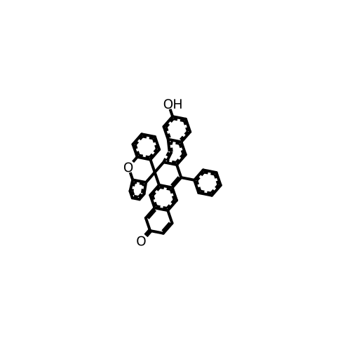 O=C1C=Cc2cc3c(cc2=C1)C1(c2ccccc2Oc2ccccc21)c1cc2cc(O)ccc2cc1C=3c1ccccc1